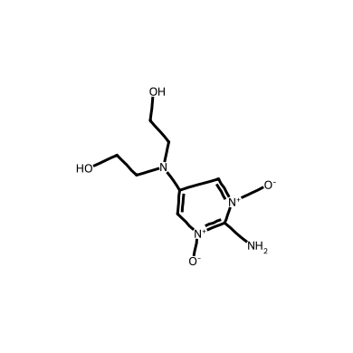 Nc1[n+]([O-])cc(N(CCO)CCO)c[n+]1[O-]